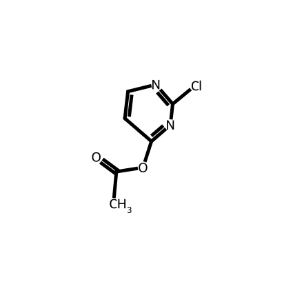 CC(=O)Oc1ccnc(Cl)n1